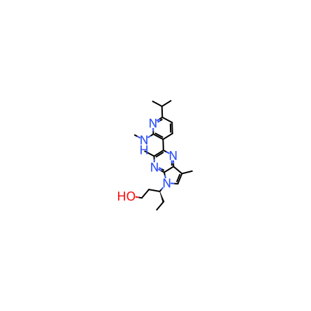 CC[C@@H](CCO)n1cc(C)c2nc(-c3ccc(C(C)C)nc3NC)c(C)nc21